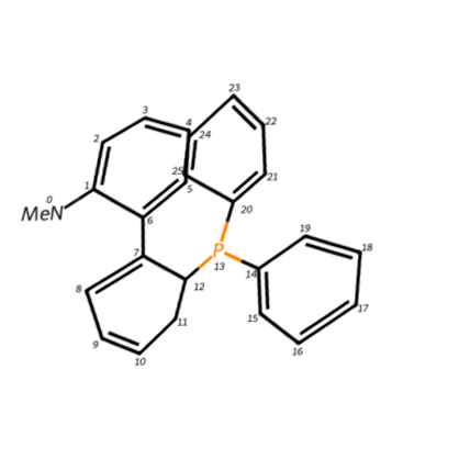 CNc1ccccc1C1=CC=CCC1P(c1ccccc1)c1ccccc1